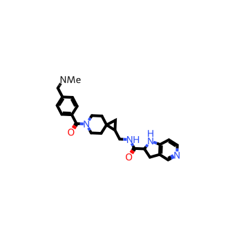 CNCc1ccc(C(=O)N2CCC3(CC2)CC3CNC(=O)C2Cc3cnccc3N2)cc1